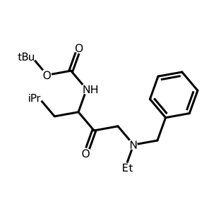 CCN(CC(=O)C(CC(C)C)NC(=O)OC(C)(C)C)Cc1ccccc1